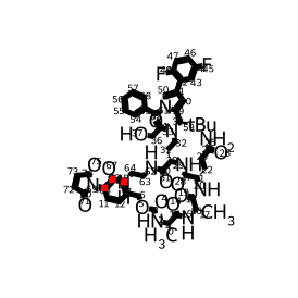 C[C@H](NC(=O)OCc1ccccc1)C(=O)N[C@@H](C)C(=O)N[C@@H](CCC(N)=O)C(=O)N[C@@H](CCN(C(=O)CO)[C@@H](c1cc(-c2cc(F)ccc2F)cn1Cc1ccccc1)C(C)(C)C)C(=O)NCCNC(=O)CN1C(=O)C=CC1=O